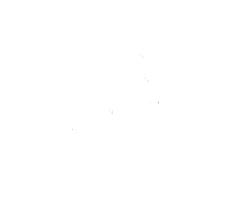 COc1c(N2CC3CCCC(F)(F)C(N)C3C2)c(F)cc2c(=O)[nH]c(=O)n(C3CC3)c12